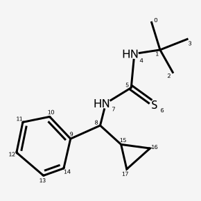 CC(C)(C)NC(=S)NC(c1ccccc1)C1CC1